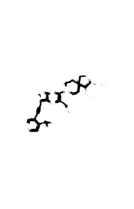 C[C@@H]1OCC2(CCN(c3nc4[nH]nc(C#Cc5cnccc5C(F)(F)F)c4nc3CO)CC2)[C@@H]1N